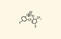 Fc1ccc([O][Zr+2][O]c2ccc(F)cc2C(F)(F)F)c(C(F)(F)F)c1.[Cl-].[Cl-]